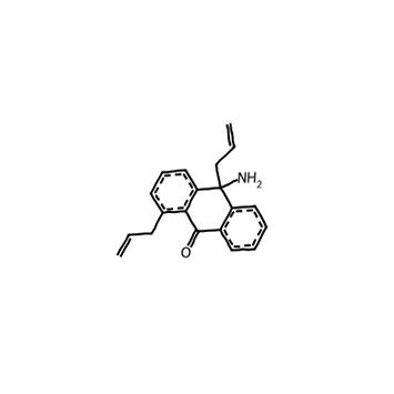 C=CCc1cccc2c1C(=O)c1ccccc1C2(N)CC=C